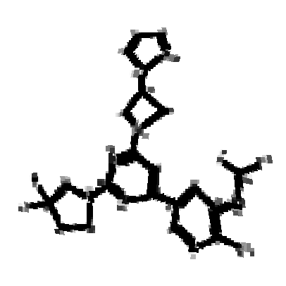 Nc1ncc(-c2cc(N3CC(n4cccn4)C3)nc(N3CCC(F)(F)C3)n2)cc1OC(F)F